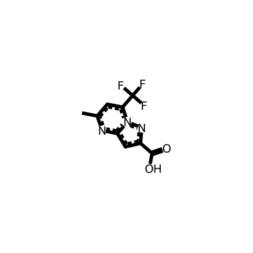 Cc1cc(C(F)(F)F)n2nc(C(=O)O)cc2n1